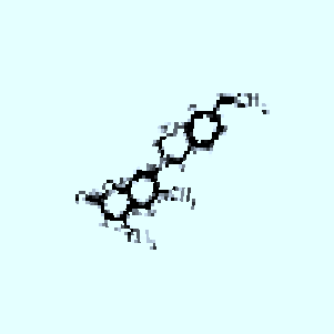 C=Cc1ccc(CN(CC)c2cc3oc(=O)cc(C)c3cc2C)cc1